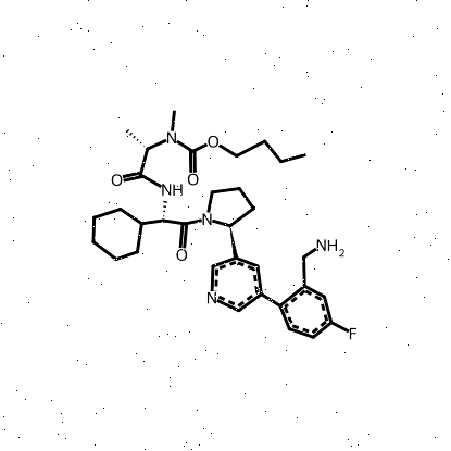 CCCCOC(=O)N(C)[C@@H](C)C(=O)N[C@H](C(=O)N1CCC[C@H]1c1cncc(-c2ccc(F)cc2CN)c1)C1CCCCC1